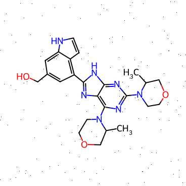 CC1COCCN1c1nc(N2CCOCC2C)c2nc(-c3cc(CO)cc4[nH]ccc34)[nH]c2n1